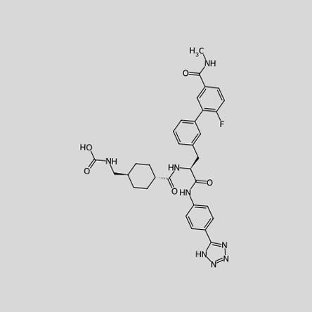 CNC(=O)c1ccc(F)c(-c2cccc(C[C@H](NC(=O)[C@H]3CC[C@H](CNC(=O)O)CC3)C(=O)Nc3ccc(-c4nnn[nH]4)cc3)c2)c1